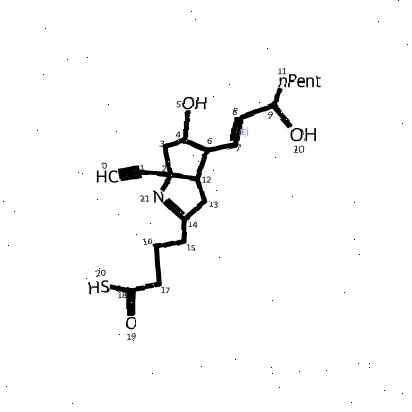 C#CC12CC(O)C(/C=C/C(O)CCCCC)C1CC(CCCC(=O)S)=N2